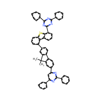 CC1(C)c2cc(-c3cc(-c4ccccc4)nc(-c4ccccc4)n3)ccc2-c2ccc(-c3cccc4sc5c(-c6nc(-c7ccccc7)nc(-c7ccccc7)n6)cccc5c34)cc21